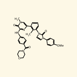 COc1ccc(-n2ccn(-c3cccc(-c4cn(C)c(=O)c(Nc5ccc(C(=O)N6CCOCC6)cc5)n4)c3C)c2=O)cc1